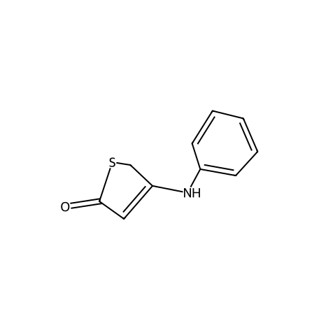 O=C1C=C(Nc2ccccc2)CS1